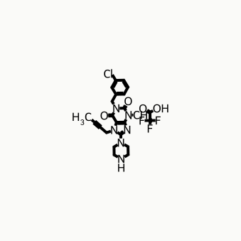 CC#CCn1c(N2CCNCC2)nc2c1c(=O)n(Cc1cccc(Cl)c1)c(=O)n2C.O=C(O)C(F)(F)F